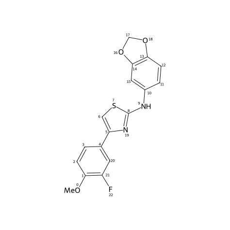 COc1ccc(-c2csc(Nc3ccc4c(c3)OCO4)n2)cc1F